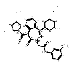 Cc1cccc(NC(=O)CN2N=C(C3CCCCC3)c3ccccc3N(C(=O)N3CCCC3)C2=O)c1